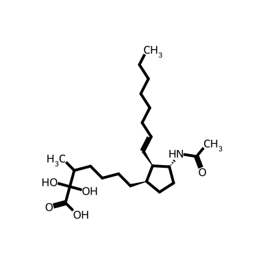 CCCCCCC=C[C@@H]1[C@H](CCCCC(C)C(O)(O)C(=O)O)CC[C@H]1NC(C)=O